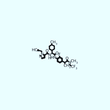 C#CCn1nccc1C(=O)N[C@H](C(=O)Nc1ccc(C(C)C(=O)N(C)CC(F)(F)F)cc1F)C1CCC(C)CC1